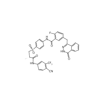 C[C@H](CS(=O)(=O)c1ccc(NC(=O)c2cc(Cc3n[nH]c(=O)c4ccccc34)ccc2F)cc1)C(=O)Nc1ccc(C#N)c(C(F)(F)F)c1